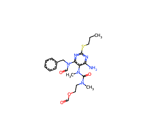 CCCSc1nc(N)c(N(C)C(=O)N(C)CCOC=O)c(N(C=O)Cc2ccccc2)n1